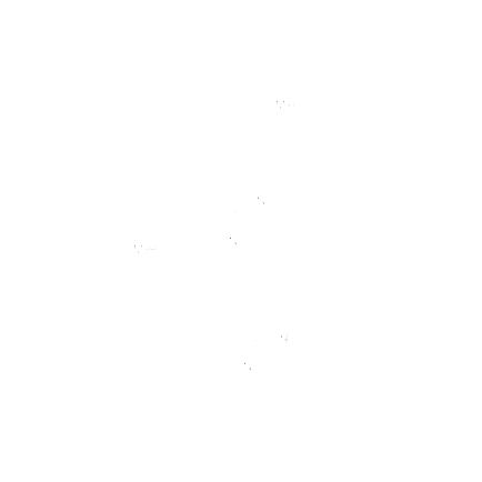 COCCn1c(=O)n(C2CC(OC)C2)c(=O)c2c(C)c(CN3CCNC3=O)sc21